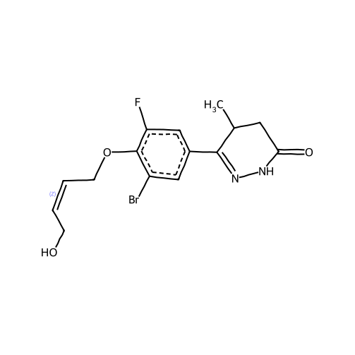 CC1CC(=O)NN=C1c1cc(F)c(OC/C=C\CO)c(Br)c1